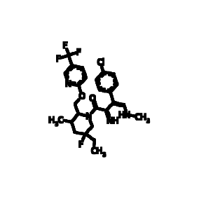 CCC1(F)CC(C)C(COc2ccc(C(F)(F)F)cn2)N(C(=O)C(=N)/C(=C\NC)c2ccc(Cl)cc2)C1